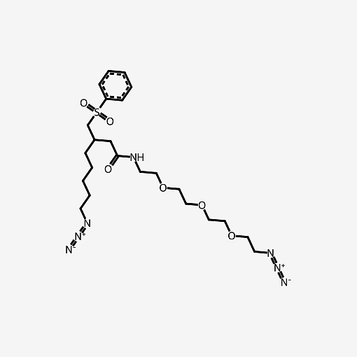 [N-]=[N+]=NCCCCCC(CC(=O)NCCOCCOCCOCCN=[N+]=[N-])CS(=O)(=O)c1ccccc1